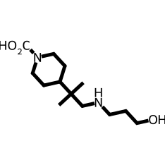 CC(C)(CNCCCO)C1CCN(C(=O)O)CC1